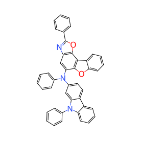 c1ccc(-c2nc3cc(N(c4ccccc4)c4ccc5c6ccccc6n(-c6ccccc6)c5c4)c4oc5ccccc5c4c3o2)cc1